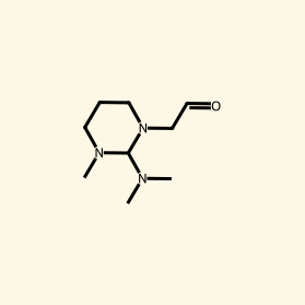 CN(C)C1N(C)CCCN1CC=O